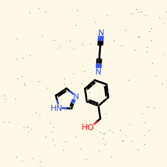 N#CC#N.OCc1ccccc1.c1c[nH]cn1